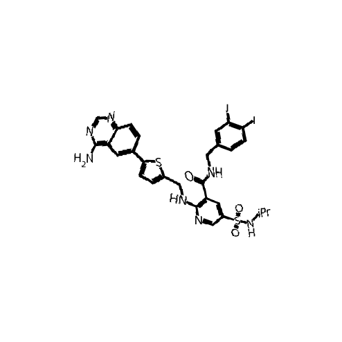 CC(C)NS(=O)(=O)c1cnc(NCc2ccc(-c3ccc4ncnc(N)c4c3)s2)c(C(=O)NCc2ccc(I)c(I)c2)c1